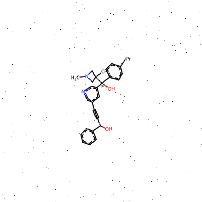 CC(C)c1ccc([C@](O)(c2cncc(C#CC(O)c3ccccc3)c2)C2(C)CN(C)C2)cc1